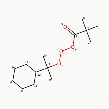 CC(C)(C)C(=O)OOOC(C)(C)C1CCCCC1